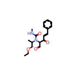 CCO[C]C(C)N(C(=O)NC)C([C]=O)C(=O)C=Cc1ccccc1